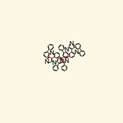 c1ccc(-c2nc(-c3ccc(-n4c5ccccc5c5ccccc54)c(-c4ccncc4-n4c5ccccc5c5ccccc54)c3)cc(-c3ccc(-n4c5ccccc5c5ccccc54)c(-c4ccncc4-n4c5ccccc5c5ccccc54)c3)n2)cc1